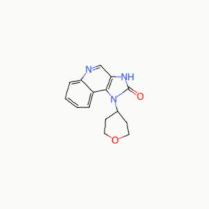 O=c1[nH]c2cnc3ccccc3c2n1C1CCOCC1